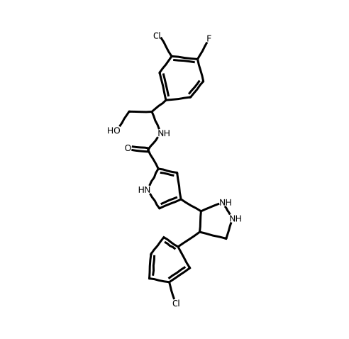 O=C(NC(CO)c1ccc(F)c(Cl)c1)c1cc(C2NNCC2c2cccc(Cl)c2)c[nH]1